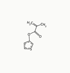 C=C(C)C(=O)Oc1ccsc1